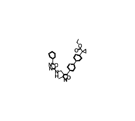 CCOC(=O)C1(c2ccc(-c3ccc(-c4onc(C)c4CNc4nnc(-c5ccccc5)o4)cc3)cc2)CC1